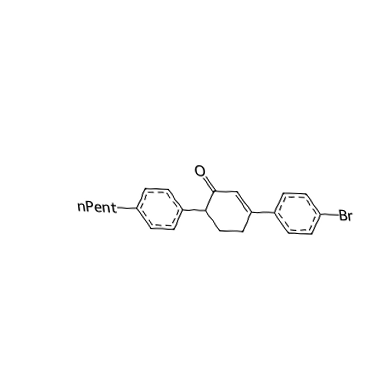 CCCCCc1ccc(C2CCC(c3ccc(Br)cc3)=CC2=O)cc1